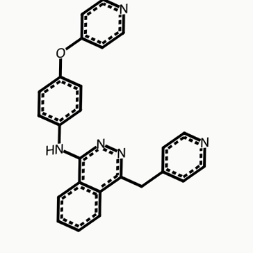 c1ccc2c(Nc3ccc(Oc4ccncc4)cc3)nnc(Cc3ccncc3)c2c1